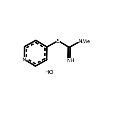 CNC(=N)Sc1ccncc1.Cl